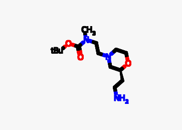 CN(CCN1CCO[C@@H](CCN)C1)C(=O)OC(C)(C)C